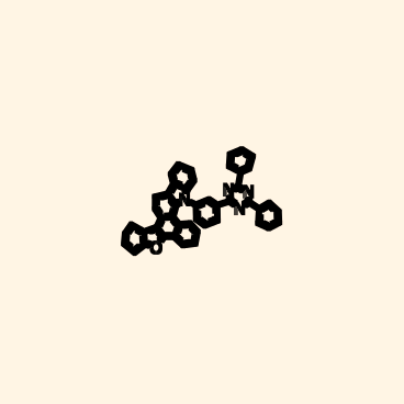 c1ccc(-c2nc(-c3ccccc3)nc(-c3cccc(-n4c5ccccc5c5ccc6c7c8ccccc8oc7c7ccccc7c6c54)c3)n2)cc1